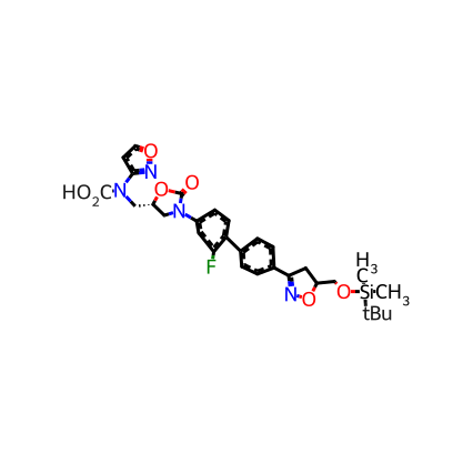 CC(C)(C)[Si](C)(C)OCC1CC(c2ccc(-c3ccc(N4C[C@H](CN(C(=O)O)c5ccon5)OC4=O)cc3F)cc2)=NO1